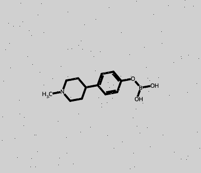 CN1CCC(c2ccc(OB(O)O)cc2)CC1